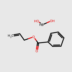 C=CCOC(=O)c1ccccc1.OBO